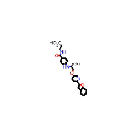 CCCCC(COc1ccc(-c2cc3ccccc3o2)nc1)Nc1ccc(C(=O)NCCC(=O)O)cc1